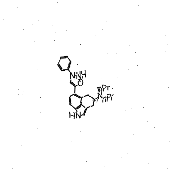 CCCN(CCC)[C@H]1Cc2c[nH]c3ccc(C4=CN(c5ccccc5)NO4)c(c23)C1